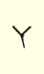 CCCCCCCCCCCCCCCC[Si]([O])(CCCCCCCCCCCCCCCC)CCCCCCCCCCCCCCCC